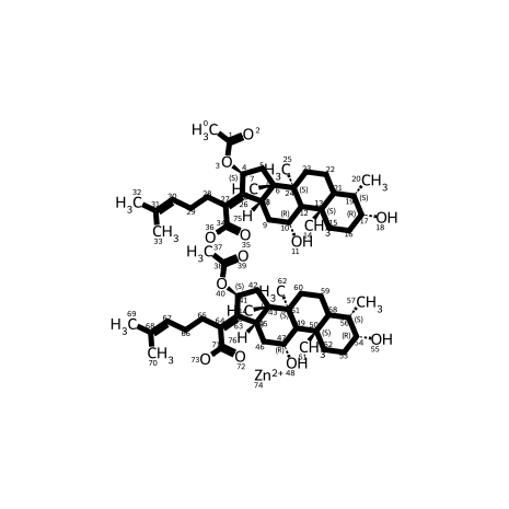 CC(=O)O[C@H]1C[C@@]2(C)[C@H](C[C@@H](O)C3[C@@]4(C)CC[C@@H](O)[C@@H](C)C4CC[C@@]32C)C1=C(CCC=C(C)C)C(=O)[O-].CC(=O)O[C@H]1C[C@@]2(C)[C@H](C[C@@H](O)C3[C@@]4(C)CC[C@@H](O)[C@@H](C)C4CC[C@@]32C)C1=C(CCC=C(C)C)C(=O)[O-].[Zn+2]